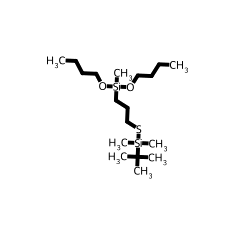 CCCCO[Si](C)(CCCS[Si](C)(C)C(C)(C)C)OCCCC